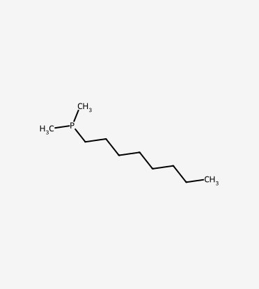 CCCCCCCCP(C)C